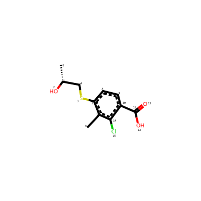 Cc1c(SC[C@@H](C)O)ccc(C(=O)O)c1Cl